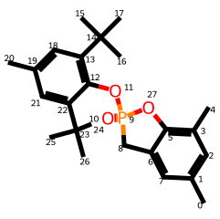 Cc1cc(C)c2c(c1)CP(=O)(Oc1c(C(C)(C)C)cc(C)cc1C(C)(C)C)O2